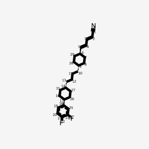 N#CC=CC=C[C@H]1CC[C@H](CCCC[C@H]2CC[C@H](c3ccc(F)c(F)c3)CC2)CC1